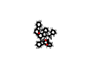 c1ccc(-c2nc(-c3ccccc3)nc(-c3c(-c4ccccc4-n4c5ccccc5c5ccccc54)cccc3-n3c4ccccc4c4ccccc43)n2)cc1